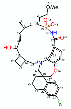 COCC[C@@H]1C[C@H](C)/C=C/C(O)C2CCC2CN2C[C@@]3(CCCc4cc(Cl)ccc43)COc3ccc(cc32)C(=O)NS1(=O)=O